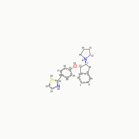 c1ccc2c(c1)C[C@H](N1CCCC1)[C@H]2Oc1ccc(-c2nccs2)cc1